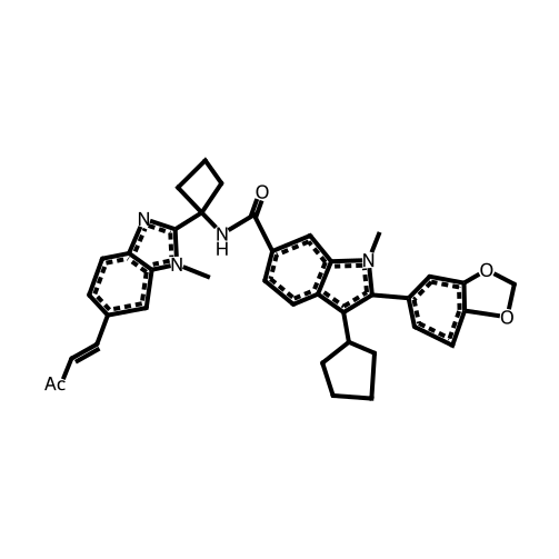 CC(=O)/C=C/c1ccc2nc(C3(NC(=O)c4ccc5c(C6CCCC6)c(-c6ccc7c(c6)OCO7)n(C)c5c4)CCC3)n(C)c2c1